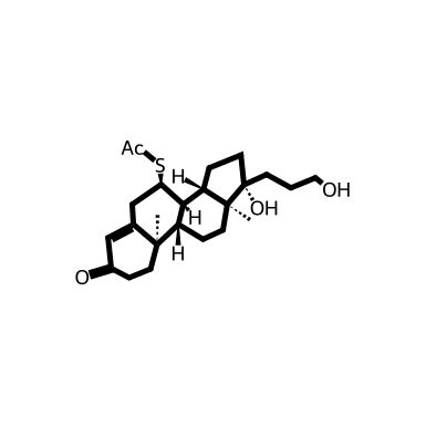 CC(=O)S[C@@H]1CC2=CC(=O)CC[C@]2(C)[C@H]2CC[C@@]3(C)[C@@H](CC[C@@]3(O)CCCO)[C@H]12